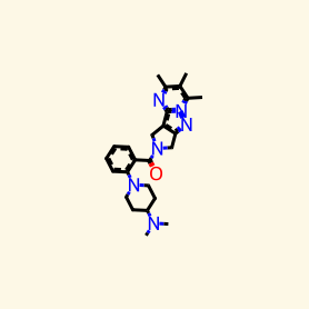 Cc1nc2c3c(nn2c(C)c1C)CN(C(=O)c1ccccc1N1CCC(N(C)C)CC1)C3